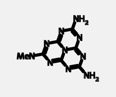 CNC1=NC2=NC(N)=NC3=NC(N)=NC(=N1)N32